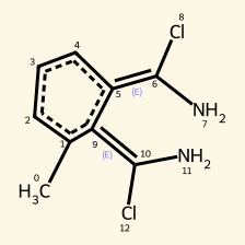 Cc1cccc(=C(/N)Cl)/c1=C(\N)Cl